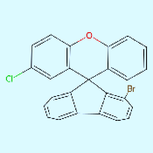 Clc1ccc2c(c1)C1(c3ccccc3O2)c2ccccc2-c2cccc(Br)c21